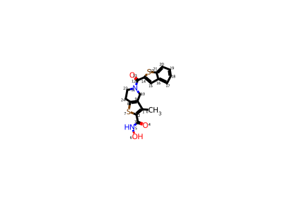 Cc1c(C(=O)NO)sc2c1CN(C(=O)c1cc3ccccc3s1)CC2